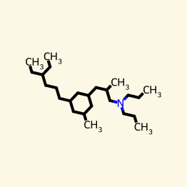 CCCN(CCC)CC(C)CC1CC(C)CC(CCCC(CC)CC)C1